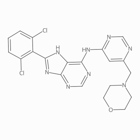 Clc1cccc(Cl)c1-c1nc2ncnc(Nc3cc(CN4CCOCC4)ncn3)c2[nH]1